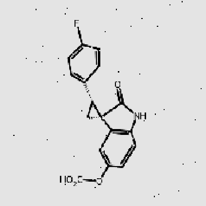 O=C(O)Oc1ccc2c(c1)[C@]1(C[C@@H]1c1ccc(F)cc1)C(=O)N2